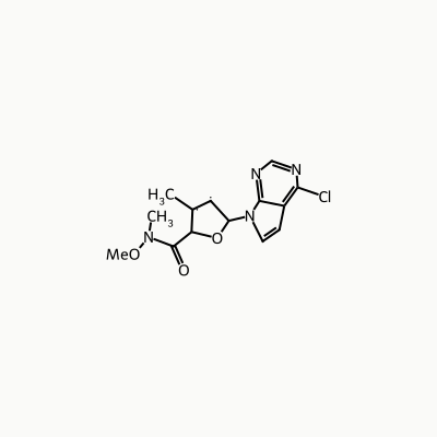 CON(C)C(=O)C1OC(n2ccc3c(Cl)ncnc32)[CH][C]1C